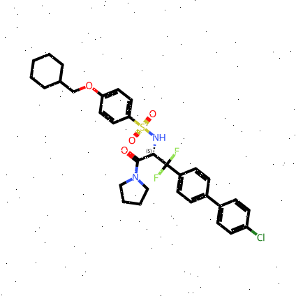 O=C([C@H](NS(=O)(=O)c1ccc(OCC2CCCCC2)cc1)C(F)(F)c1ccc(-c2ccc(Cl)cc2)cc1)N1CCCC1